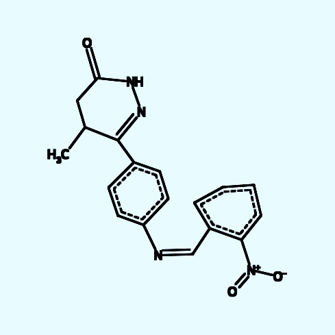 CC1CC(=O)NN=C1c1ccc(/N=C\c2ccccc2[N+](=O)[O-])cc1